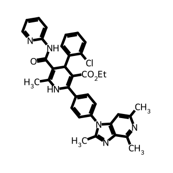 CCOC(=O)C1=C(c2ccc(-n3c(C)nc4c(C)nc(C)cc43)cc2)NC(C)=C(C(=O)Nc2ccccn2)C1c1ccccc1Cl